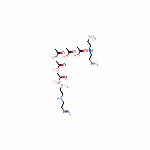 CC(=O)O.CC(=O)O.CC(=O)O.CC(=O)O.CC(=O)O.NCCNCCN.NCCNCCN